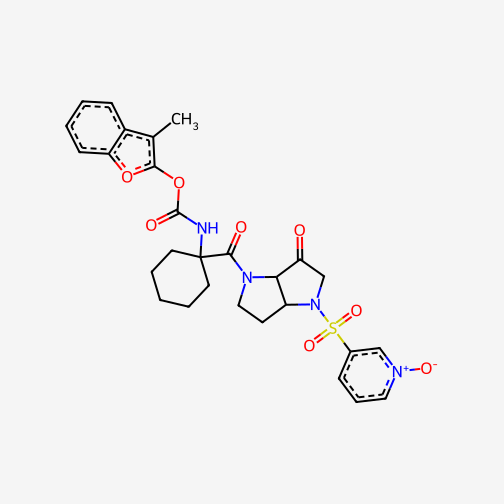 Cc1c(OC(=O)NC2(C(=O)N3CCC4C3C(=O)CN4S(=O)(=O)c3ccc[n+]([O-])c3)CCCCC2)oc2ccccc12